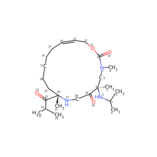 CC(C)N[C@]1(C)CN(C)C(=O)OC/C=C\CCCCC[C@@](C)(C(=O)C(C)C)NCC1=O